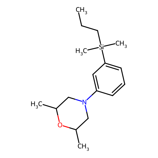 CCC[Si](C)(C)c1cccc(N2CC(C)OC(C)C2)c1